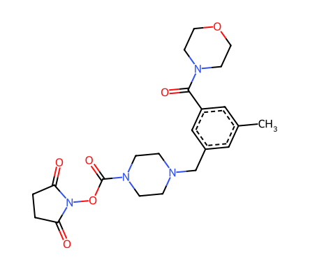 Cc1cc(CN2CCN(C(=O)ON3C(=O)CCC3=O)CC2)cc(C(=O)N2CCOCC2)c1